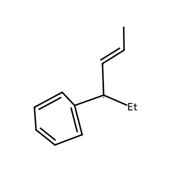 C/C=C/[C](CC)c1ccccc1